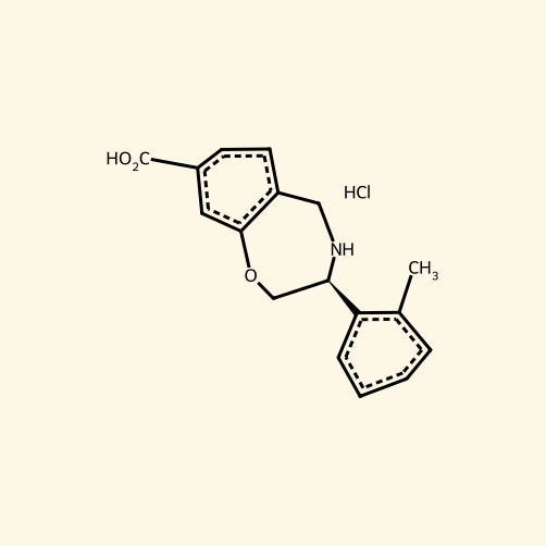 Cc1ccccc1[C@H]1COc2cc(C(=O)O)ccc2CN1.Cl